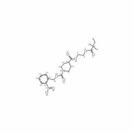 CCC(C)(C)C(=O)OCCOC(=O)C1CCN(C(=O)OCc2ccccc2[N+](=O)[O-])CC1